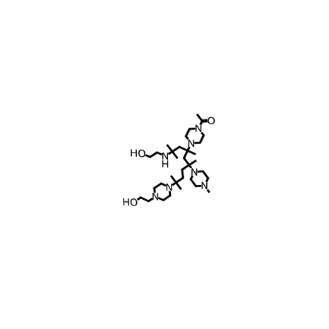 CC(=O)N1CCN(C(C)(CC(C)(C)NCCO)CC(C)(CCC(C)(C)N2CCN(CCO)CC2)N2CCN(C)CC2)CC1